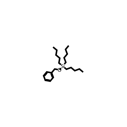 CCCCC[Si](CCCCC)(CCCCC)OCc1ccccc1